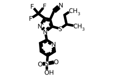 CCC(C)Sc1c(C#N)c(C(F)(F)F)nn1-c1ccc(S(=O)(=O)O)cn1